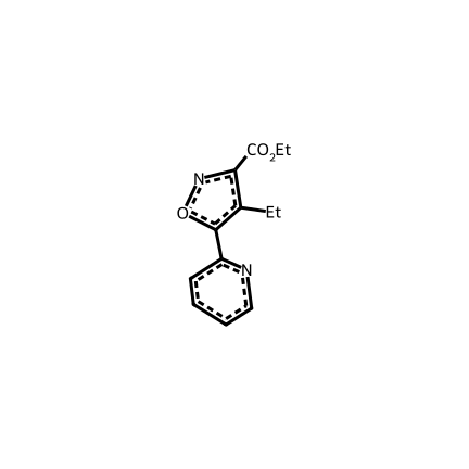 CCOC(=O)c1noc(-c2ccccn2)c1CC